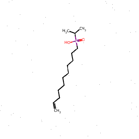 C=CCCCCCCCCCP(=O)(O)C(C)C